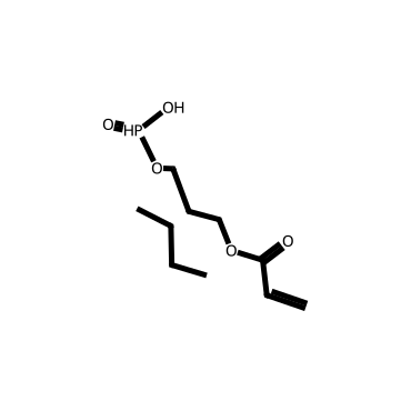 C=CC(=O)OCCCO[PH](=O)O.CCCC